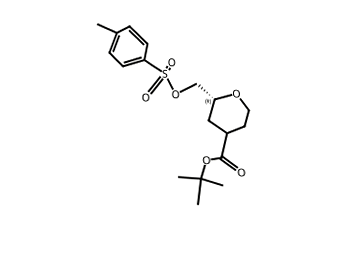 Cc1ccc(S(=O)(=O)OC[C@H]2CC(C(=O)OC(C)(C)C)CCO2)cc1